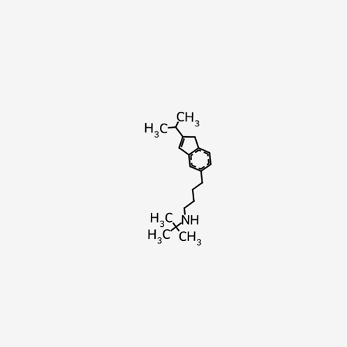 CC(C)C1=Cc2cc(CCCCNC(C)(C)C)ccc2C1